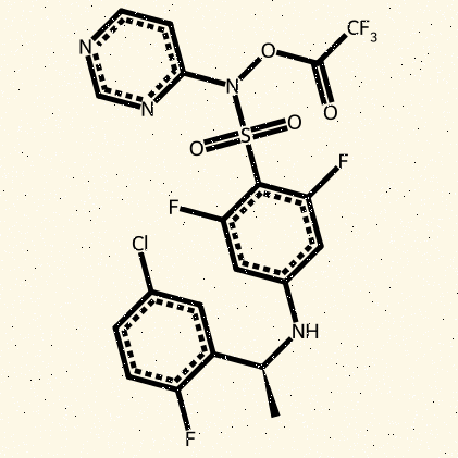 C[C@H](Nc1cc(F)c(S(=O)(=O)N(OC(=O)C(F)(F)F)c2ccncn2)c(F)c1)c1cc(Cl)ccc1F